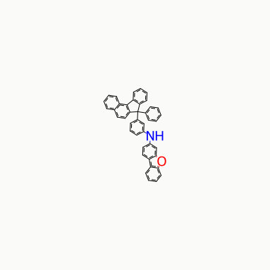 c1ccc(C2(c3cccc(Nc4ccc5c(c4)oc4ccccc45)c3)c3ccccc3-c3c2ccc2ccccc32)cc1